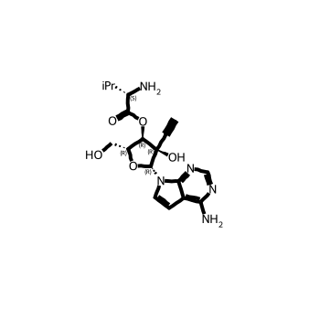 C#C[C@@]1(O)[C@H](OC(=O)[C@@H](N)C(C)C)[C@@H](CO)O[C@H]1n1ccc2c(N)ncnc21